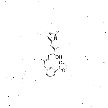 CC(=CCC(O)C(C)=Cc1csc(C)n1)Cc1cccc(C2OCCO2)c1